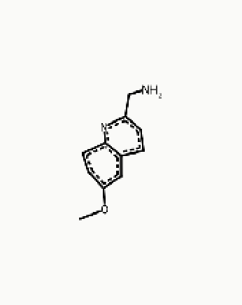 COc1ccc2nc(CN)ccc2c1